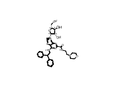 O=C(NCCN1CCOCC1)c1nc(NCC(c2ccccc2)c2ccccc2)c2ncn([C@@H]3O[C@H](CO)[C@@H](O)[C@@H]3O)c2n1